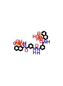 O=C(Nc1cccc(C(=O)Nc2ccc3cccc(S(=O)(=O)O)c3c2O)c1)Nc1cccc(C(=O)Nc2ccc3cccc(S(=O)(=O)O)c3c2O)c1